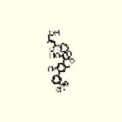 C/C(=C\C(=O)N1CCCC2(C1)OC(=O)C(c1cc(Cl)c(-c3cccc(S(C)(=O)=O)c3)cc1C)=C2O)CO